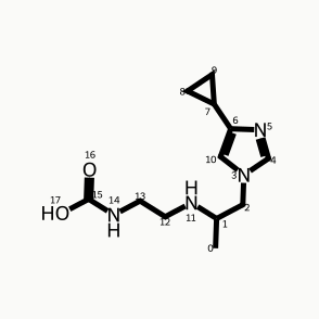 CC(Cn1cnc(C2CC2)c1)NCCNC(=O)O